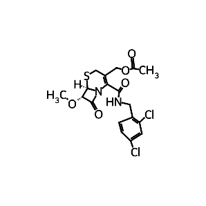 CO[C@H]1C(=O)N2C(C(=O)NCc3ccc(Cl)cc3Cl)=C(COC(C)=O)CS[C@H]12